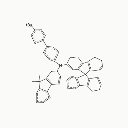 CC(C)(C)c1ccc(-c2ccc(N(C3=CC4=C(CC3)C3=C(C=CCC3)C43C4=C(CCC=C4)c4ccccc43)C3C=CC4=C(C3)C(C)(C)c3ccccc34)cc2)cc1